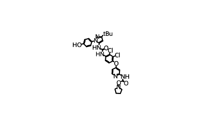 CC(C)(C)c1cc(NC(=O)Nc2ccc(Oc3ccnc(NC(=O)ON4CCCC4)c3)c(Cl)c2Cl)n(-c2ccc(O)cc2)n1